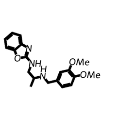 COc1ccc(CNC(C)CNc2nc3ccccc3o2)cc1OC